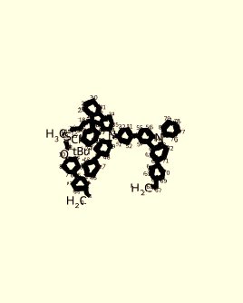 C=Cc1ccc(-c2ccc(OCCS(C)(C)CCCC3(c4ccc(C(C)(C)C)cc4)c4ccccc4-c4ccc(N(c5ccc(-c6ccccc6)cc5)c5ccc(-c6ccc7c(c6)c6cc(-c8ccc(C=C)cc8)ccc6n7-c6ccccc6)cc5)cc43)cc2)cc1